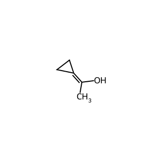 CC(O)=C1CC1